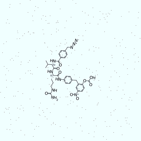 CC(C)[C@H](NC(=O)c1ccc(CN=[N+]=[N-])cc1)C(=O)N[C@@H](CCCNC(N)=O)C(=O)Nc1ccc(Cc2cc([N+](=O)[O-])ccc2OC(=O)O)cc1